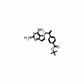 C=C(Cn1ccc2nc(N)nc(N)c21)c1ccc(C(=O)OC(C)(C)C)cc1